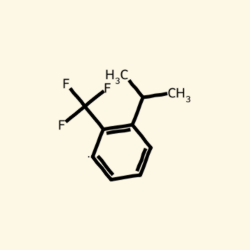 CC(C)c1ccc[c]c1C(F)(F)F